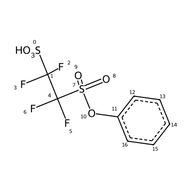 O=S(=O)(O)C(F)(F)C(F)(F)S(=O)(=O)Oc1ccccc1